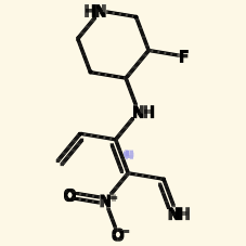 C=C/C(NC1CCNCC1F)=C(/C=N)[N+](=O)[O-]